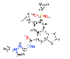 Cn1ccc(NC(=O)/C(=C/C2CCCC2)c2ccc(S(=O)(=O)C3CC3)c(C3CC3)c2)n1